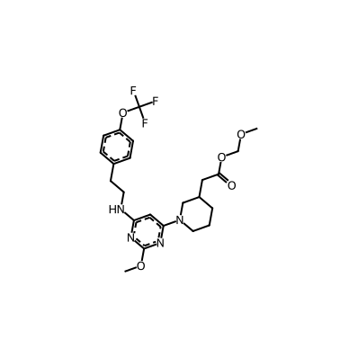 COCOC(=O)CC1CCCN(c2cc(NCCc3ccc(OC(F)(F)F)cc3)nc(OC)n2)C1